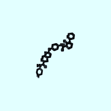 CN1CCC(NC(=O)c2cc3ccc(Oc4ccc(NC(=O)c5cccn(-c6ccccn6)c5=O)cc4)nc3cn2)CC1